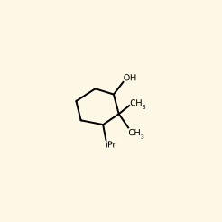 CC(C)C1CCCC(O)C1(C)C